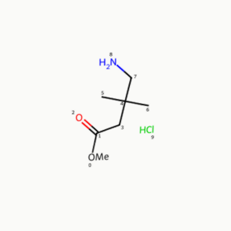 COC(=O)CC(C)(C)CN.Cl